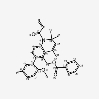 C=CC(=O)N1c2ccc(-c3cc(C)ccc3OC)c(COC(=O)c3ccccc3)c2C(C)=CC1(C)C